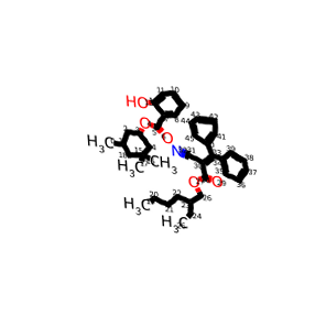 CC1CC(OC(=O)c2ccccc2O)CC(C)(C)C1.CCCCC(CC)COC(=O)C(C#N)=C(c1ccccc1)c1ccccc1